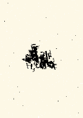 CC1COc2c1cc(C(O)(CNC(=O)c1cc(OC3CC3)c3ncc(C(F)F)cc3c1)C(F)(F)F)nc2-c1ccc(F)cc1